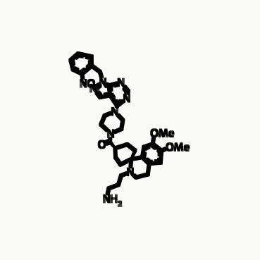 COc1cc2c(cc1OC)[C@]1(CC[C@H](C(=O)N3CCN(c4ncnc5c4cnn5Cc4ccccc4[N+](=O)[O-])CC3)CC1)N(CCCN)CC2